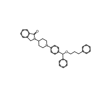 O=C1c2ccccc2CN1C1CCN(c2ccc(C(OCCCc3ccccc3)c3ccccc3)cc2)CC1